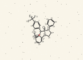 O=[N+]([O-])CC(c1ccc(C(F)(F)F)cc1)P1(=O)N(c2ccccc2)CCN1c1ccccc1